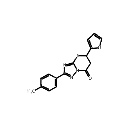 Cc1ccc(-c2nc3n(n2)C(=O)CC(c2ccco2)S3)cc1